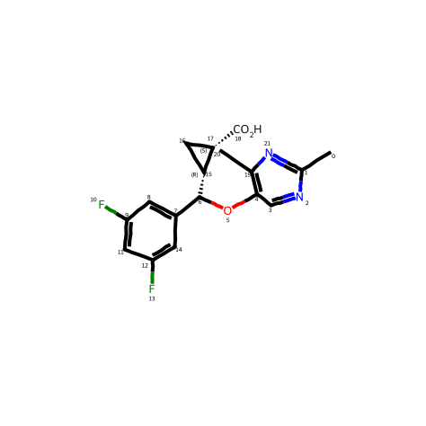 Cc1ncc(OC(c2cc(F)cc(F)c2)[C@@H]2C[C@@H]2C(=O)O)c(C)n1